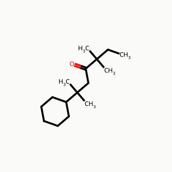 CCC(C)(C)C(=O)CC(C)(C)C1CCCCC1